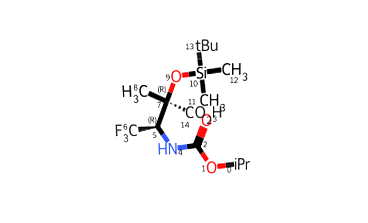 CC(C)OC(=O)N[C@@H](C(F)(F)F)[C@@](C)(O[Si](C)(C)C(C)(C)C)C(=O)O